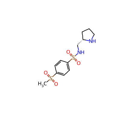 CS(=O)(=O)c1ccc(S(=O)(=O)NC[C@@H]2CCCN2)cc1